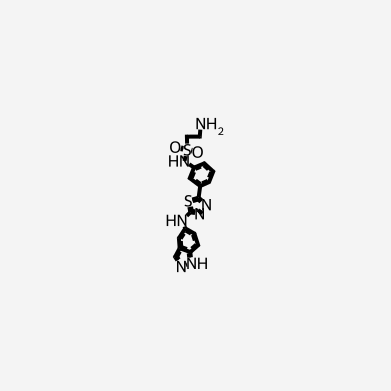 NCCS(=O)(=O)Nc1cccc(-c2nnc(Nc3ccc4[nH]ncc4c3)s2)c1